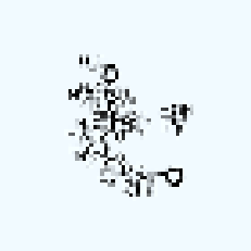 CN[C@H](C(=O)N[C@H](C(=O)N(C)[C@H](/C=C(\C)C(=O)N1CCC[C@@H]1C(=O)N1CCC[C@@H]1C(=O)NCc1ccccc1)C(C)C)C(C)(C)C)C(C)(C)c1cccc(C)c1.O=C(O)C(F)(F)F